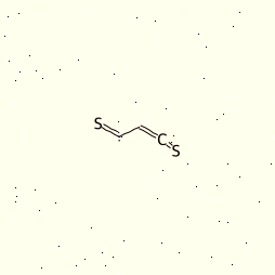 S=[C]C=C=S